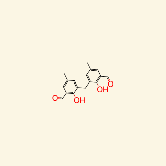 Cc1cc(C=O)c(O)c(Cc2cc(C)cc(C=O)c2O)c1